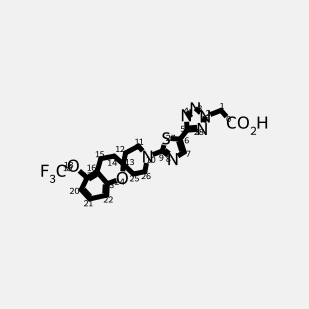 O=C(O)Cn1nnc(-c2cnc(N3CCC4(CCc5c(OC(F)(F)F)cccc5O4)CC3)s2)n1